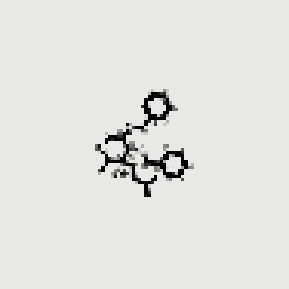 CC(C)CC[C@@]1(O)C(C)OCC(OCc2ccccc2)[C@H]1OCc1ccccc1